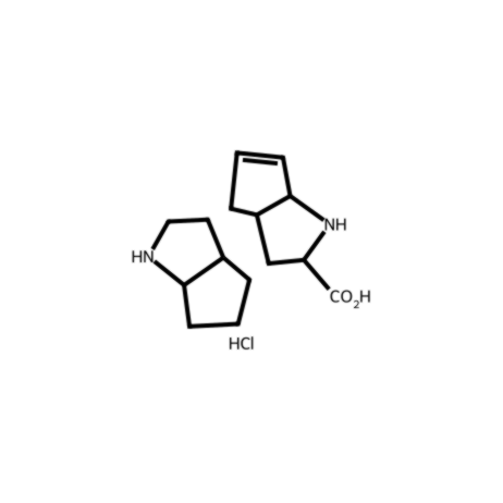 C1CC2CCNC2C1.Cl.O=C(O)C1CC2CC=CC2N1